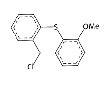 COc1ccccc1Sc1ccccc1CCl